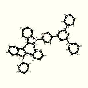 c1ccc(-c2cc(-c3cnc(-n4c5ccccc5c5c6c7ccccc7n(-c7ccccc7)c6c6ccccc6c54)cn3)cc(-c3ccccc3)n2)cc1